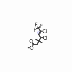 COC(=O)CC(C)(C)C(Cl)/C=C(\Cl)C(F)(F)F